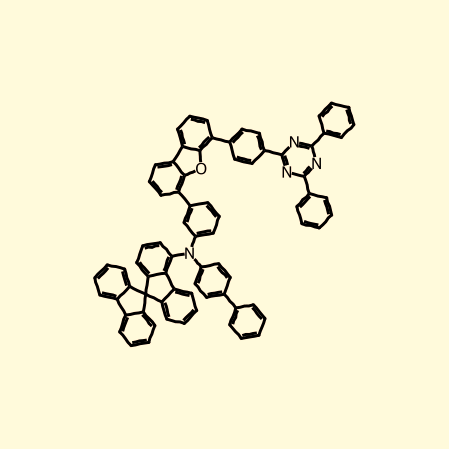 c1ccc(-c2ccc(N(c3cccc(-c4cccc5c4oc4c(-c6ccc(-c7nc(-c8ccccc8)nc(-c8ccccc8)n7)cc6)cccc45)c3)c3cccc4c3-c3ccccc3C43c4ccccc4-c4ccccc43)cc2)cc1